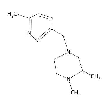 Cc1ccc(CN2CCN(C)C(C)C2)cn1